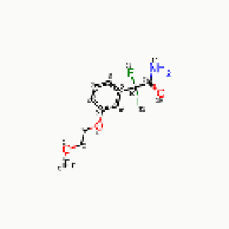 CC(C)OCCOc1cccc(C(F)(F)C(N)=O)c1